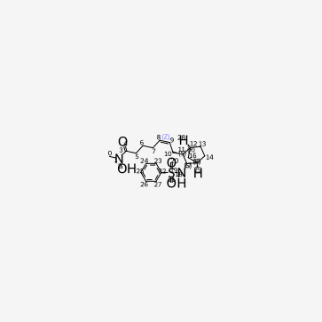 CN(O)C(=O)CCC/C=C\C[C@H]1[C@@H]2CC[C@@H](C2)[C@@H]1NS(=O)(=O)c1ccccc1